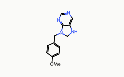 COc1ccc(CN2CNc3cncnc32)cc1